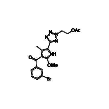 COc1[nH]c(-c2nnn(CCOC(C)=O)n2)c(C)c1C(=O)c1cccc(Br)c1